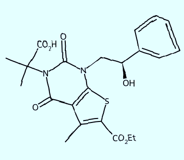 CCOC(=O)c1sc2c(c1C)c(=O)n(C(C)(C)C(=O)O)c(=O)n2C[C@H](O)c1ccccc1